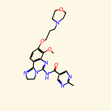 COc1c(OCCCN2CCOCC2)ccc2c1N=C(NC(=O)c1cnc(C)nc1)N1CCN=C21